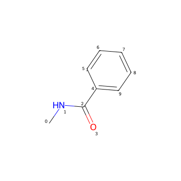 CNC(=O)c1[c]cccc1